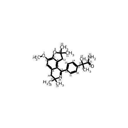 COc1cc2c(c3c1OC(C)(C)C3)C(c1ccc(C(C)(C)C(N)=O)cc1)=NC(C)(C)C2